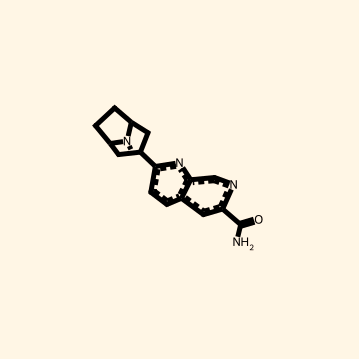 CN1C2CCC1CC(c1ccc3cc(C(N)=O)ncc3n1)C2